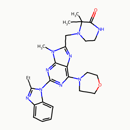 CCc1nc2ccccc2n1-c1nc(N2CCOCC2)c2nc(CN3CCNC(=O)C3(C)C)n(C)c2n1